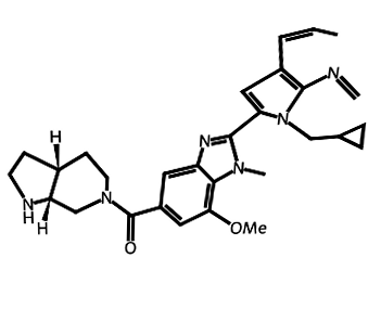 C=Nc1c(/C=C\C)cc(-c2nc3cc(C(=O)N4CC[C@H]5CCN[C@H]5C4)cc(OC)c3n2C)n1CC1CC1